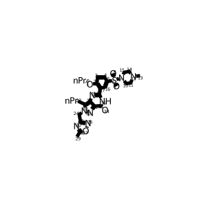 CCCOc1ccc(S(=O)(=O)N2CCN(C)CC2)cc1-c1nc2c(CCC)n(Cc3noc(C)n3)nc2c(=O)[nH]1